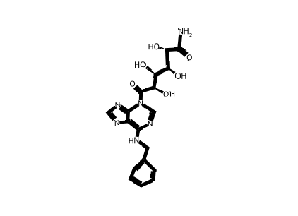 NC(=O)[C@@H](O)[C@@H](O)[C@H](O)[C@@H](O)C(=O)n1cnc(NCc2ccccc2)c2ncnc1-2